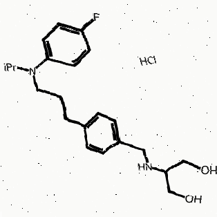 CC(C)N(CCCc1ccc(CNC(CO)CO)cc1)c1ccc(F)cc1.Cl